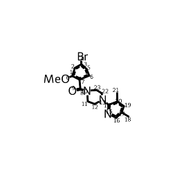 COc1cc(Br)ccc1C(=O)N1CCN(c2ncc(C)cc2C)CC1